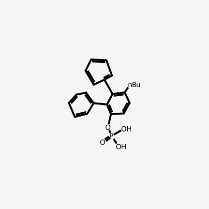 CCCCc1ccc(OP(=O)(O)O)c(-c2ccccc2)c1-c1ccccc1